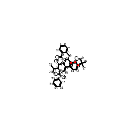 CC(=O)N([C@@H](Cc1ccccc1)C(=O)C1=NC(C)(C)CO1)N1C(=O)C(C(C)C)N(S(=O)(=O)c2ccccc2)C=C1c1ccccc1